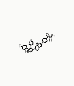 CCNC(=O)c1ccc([C@@H]2C[C@H]3C=C(c4c[nH]c(-c5ccc(F)cc5)c4-c4ccncc4)CCN3C2)cc1